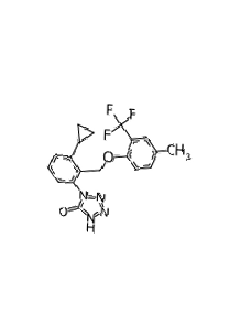 Cc1ccc(OCc2c(C3CC3)cccc2-n2nn[nH]c2=O)c(C(F)(F)F)c1